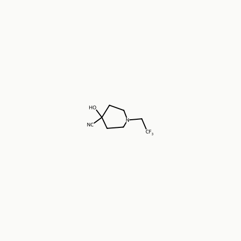 N#CC1(O)CCN(CC(F)(F)F)CC1